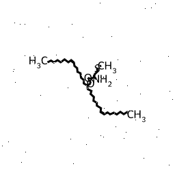 CCCCCCCC/C=C\CCCCCCCCC(CCCCCCC/C=C\CCCCCCCC)OC(=O)C(N)CCSC